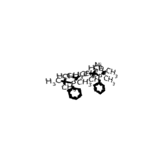 CC(C)(C)P(c1ccccc1)C(C)(C)C.CC(C)(C)P(c1ccccc1)C(C)(C)C.[Ni]